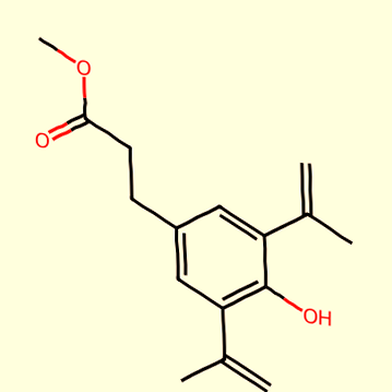 C=C(C)c1cc(CCC(=O)OC)cc(C(=C)C)c1O